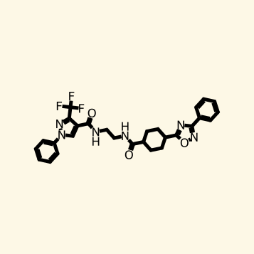 O=C(NCCNC(=O)C1CCC(c2nc(-c3ccccc3)no2)CC1)c1cn(-c2ccccc2)nc1C(F)(F)F